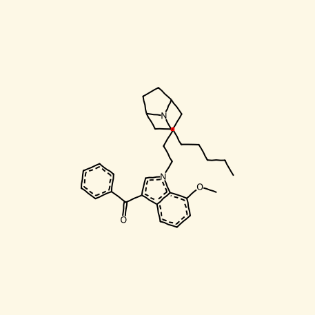 CCCCCC1CC2CCC(C1)N2CCCn1cc(C(=O)c2ccccc2)c2cccc(OC)c21